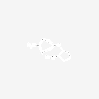 CN[C@@H]1CCC[C@H]1Oc1ccc(N)nc1